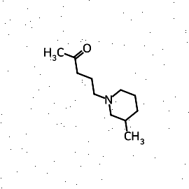 CC(=O)CCCN1CCCC(C)C1